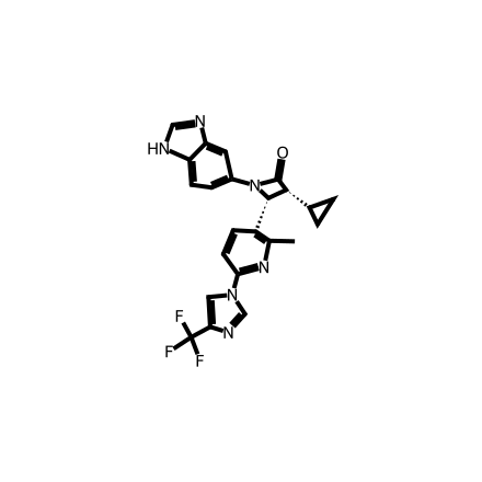 Cc1nc(-n2cnc(C(F)(F)F)c2)ccc1[C@H]1[C@@H](C2CC2)C(=O)N1c1ccc2[nH]cnc2c1